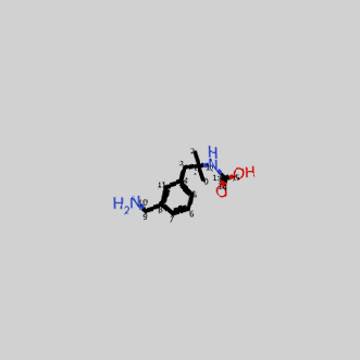 CC(C)(Cc1cccc(CN)c1)NC(=O)O